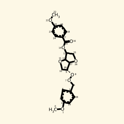 COc1ccc(COO[C@@H]2COC3C(OC(=O)c4ccc(OC)cc4)COC32)cc1